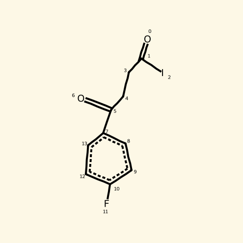 O=C(I)CCC(=O)c1ccc(F)cc1